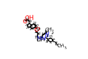 CCCc1ccc(-c2nc(C)cc(N(C)CCCOc3ccc4c(c3)CC[C@H]4CC(=O)O)n2)cc1